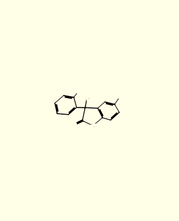 O=C1Nc2ccc(Cl)cc2C1(Br)c1ccccc1Cl